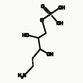 NCCC(O)C(O)COP(=O)(O)O